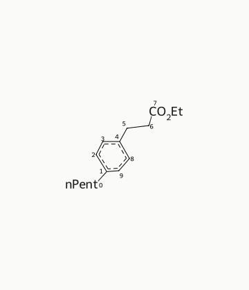 CCCCCc1ccc(CCC(=O)OCC)cc1